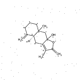 C=C1OC2(O)CC3(C)CCCC(=C)[C@@H]3CC2=C1C